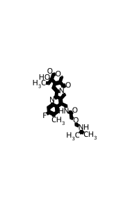 CC[C@@]1(O)C(=O)OCc2c1cc1n(c2=O)Cc2c-1nc1cc(F)c(C)cc1c2CNC(=O)COCNC(C)C